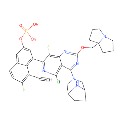 C#Cc1c(F)ccc2cc(OP(=O)(O)O)cc(-c3nc(Cl)c4c(N5CC6CCC(C5)N6)nc(OCC56CCCN5CCC6)nc4c3F)c12